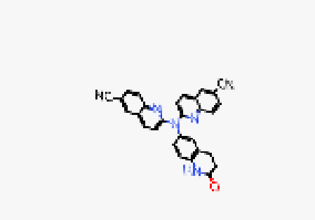 N#Cc1ccc2nc(N(c3ccc4c(c3)CCC(=O)N4)c3ccc4cc(C#N)ccc4n3)ccc2c1